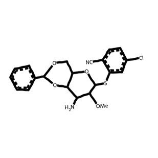 COC1C(Sc2cc(Cl)ccc2C#N)OC2COC(c3ccccc3)OC2C1N